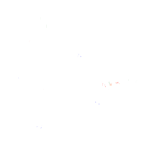 CC1N(C)C2CCCC1(c1cccc(OC(=O)c3cccnc3)c1)C2.CC1N(C)C2CCCC1(c1cccc(OC(=O)c3cccnc3)c1)C2.Cl.Cl.Cl.Cl.O